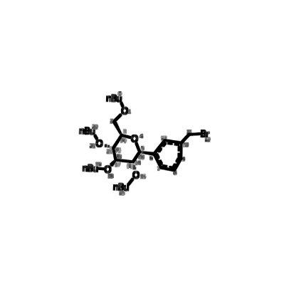 CCCCOC[C@H]1O[C@@H](c2cccc(CBr)c2)[C@H](OCCCC)[C@@H](OCCCC)[C@@H]1OCCCC